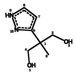 CC(CO)(CO)c1cc[nH]n1